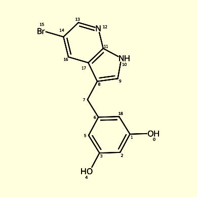 Oc1cc(O)cc(Cc2c[nH]c3ncc(Br)cc23)c1